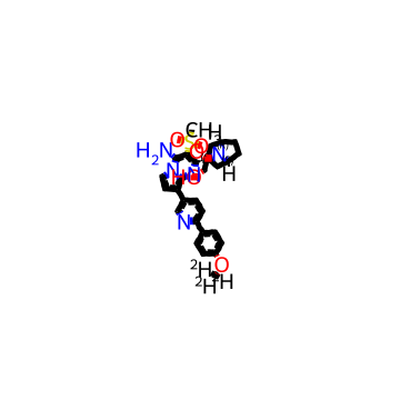 [2H]C([2H])([2H])Oc1ccc(-c2ccc(-c3ccn4c(N)c(S(C)(=O)=O)c([C@@H]5C[C@H]6CC[C@@H](C5)N6C(=O)CO)nc34)cn2)cc1